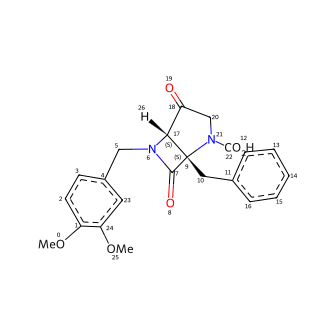 COc1ccc(CN2C(=O)[C@]3(Cc4ccccc4)[C@H]2C(=O)CN3C(=O)O)cc1OC